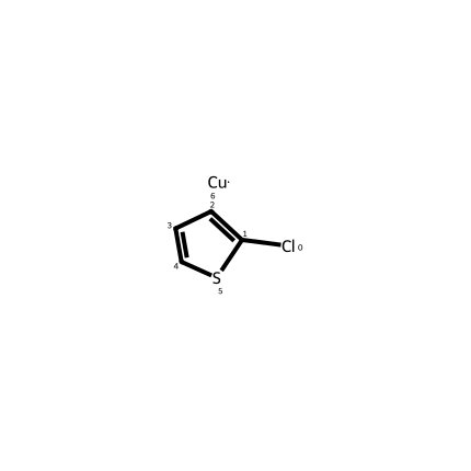 Clc1cccs1.[Cu]